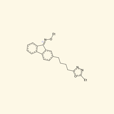 CCO/N=C1/c2ccccc2-c2ccc(CCCCc3nnc(CC)o3)cc21